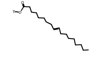 CCCCCCCCC=CCCCCCCCC(=O)[O][Ti]